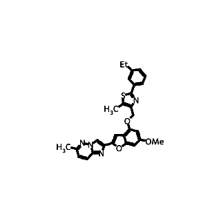 CCc1cccc(-c2nc(COc3cc(OC)cc4oc(-c5cn6nc(C)ccc6n5)cc34)c(C)s2)c1